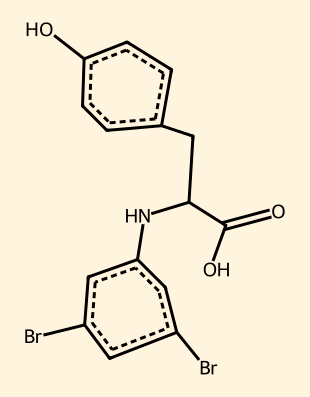 O=C(O)C(Cc1ccc(O)cc1)Nc1cc(Br)cc(Br)c1